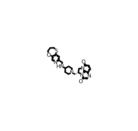 O=c1ccc2ncc(=O)n3c2n1C[C@H]3CN1CCC(NCc2cc3c(cn2)OCCCS3)CC1